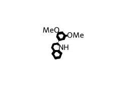 COc1cc(OC)cc([C@H]2CCc3ccccc3N2)c1